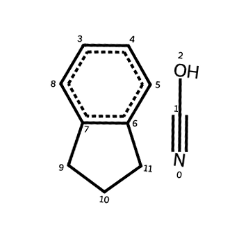 N#CO.c1ccc2c(c1)CCC2